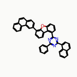 c1ccc(-c2nc(-c3cccc4ccccc34)nc(-c3cccc4oc5c(-c6ccc7ccc8ccccc8c7c6)cccc5c34)n2)cc1